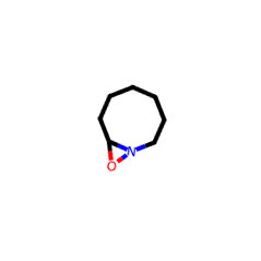 C1CCCN2OC2CC1